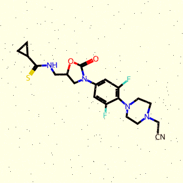 N#CCN1CCN(c2c(F)cc(N3CC(CNC(=S)C4CC4)OC3=O)cc2F)CC1